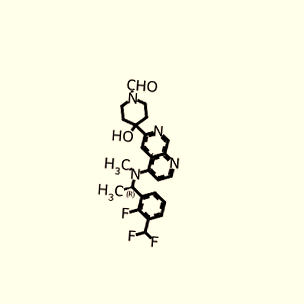 C[C@H](c1cccc(C(F)F)c1F)N(C)c1ccnc2cnc(C3(O)CCN(C=O)CC3)cc12